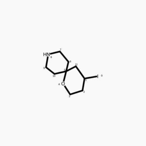 IC1CCOC2(CCNCC2)C1